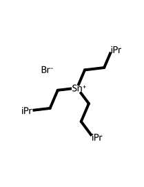 CC(C)C[CH2][Sn+]([CH2]CC(C)C)[CH2]CC(C)C.[Br-]